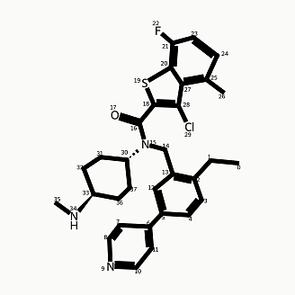 CCc1ccc(-c2ccncc2)cc1CN(C(=O)c1sc2c(F)ccc(C)c2c1Cl)[C@H]1CC[C@H](NC)CC1